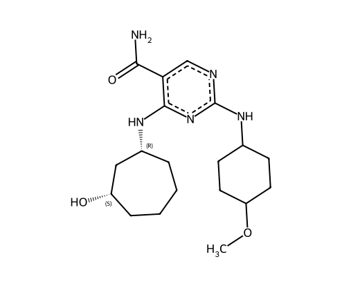 COC1CCC(Nc2ncc(C(N)=O)c(N[C@@H]3CCCC[C@H](O)C3)n2)CC1